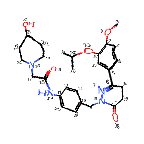 COc1ccc(C2=NN(Cc3ccc(NC(=O)CN4CCC(O)CC4)cc3)C(=O)CC2)cc1OC(C)C